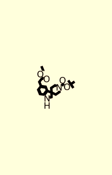 CCOC(=O)Cc1ccc2c(c1)C1(CCN(C(=O)OC(C)(C)C)CC1)CN2